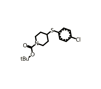 CC(C)(C)OC(=O)N1CCC(Sc2ccc(Cl)cc2)CC1